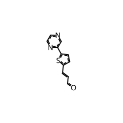 O=C/C=C/c1ccc(-c2cnccn2)s1